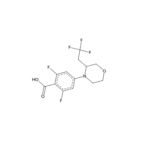 O=C(O)c1c(F)cc(N2CCOCC2CC(F)(F)F)cc1F